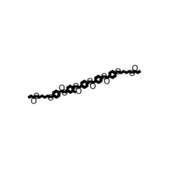 C=CC(=O)OCCCCOc1ccc(C(=O)Oc2ccc(C(=O)Oc3ccc(C(=O)Oc4ccc(OC(=O)c5ccc(OCCCCOC(=O)C=C)cc5)cc4C)cc3)cc2)cc1